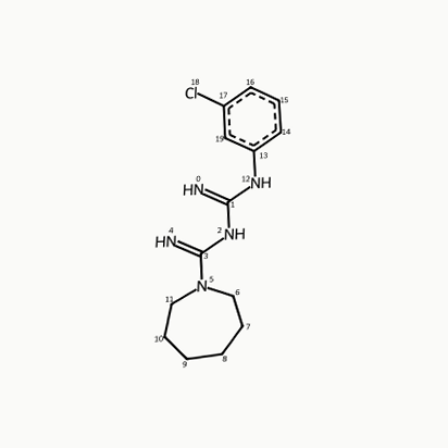 N=C(NC(=N)N1CCCCCC1)Nc1cccc(Cl)c1